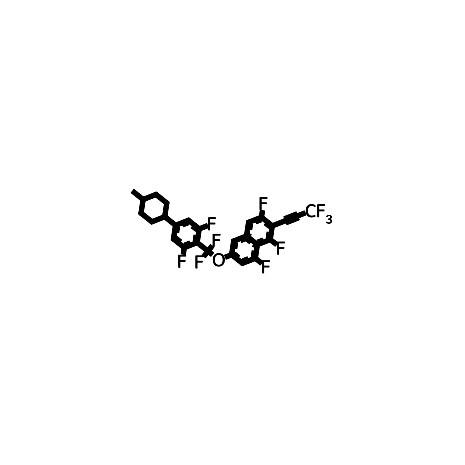 CC1CCC(c2cc(F)c(C(F)(F)Oc3cc(F)c4c(F)c(C#CC(F)(F)F)c(F)cc4c3)c(F)c2)CC1